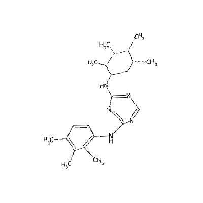 Cc1ccc(Nc2ncnc(NC3CC(C)C(C)C(C)C3C)n2)c(C)c1C